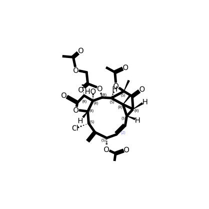 C=C1[C@@H](OC(C)=O)/C=C\[C@H]2[C@H]3C(=O)[C@@](C)(OC(C)=O)[C@H]([C@@H](OC(=O)COC(C)=O)[C@]4(O)[C@@H](C)C(=O)O[C@H]4[C@H]1Cl)[C@]32C